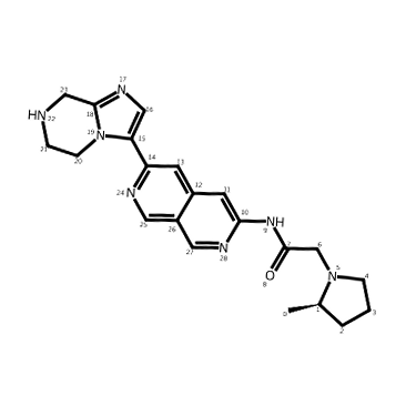 C[C@@H]1CCCN1CC(=O)Nc1cc2cc(-c3cnc4n3CCNC4)ncc2cn1